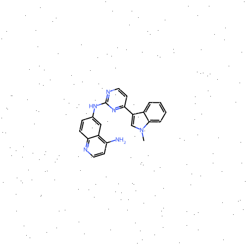 Cn1cc(-c2ccnc(Nc3ccc4nccc(N)c4c3)n2)c2ccccc21